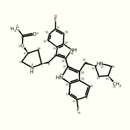 CC(=O)O[C@@H]1CN[C@H](Cc2c(-c3[nH]c4cc(F)ccc4c3C[C@@H]3C[C@H](C)CN3)[nH]c3cc(F)ccc23)C1